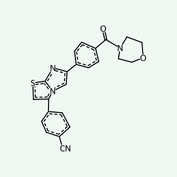 N#Cc1ccc(-c2csc3nc(-c4ccc(C(=O)N5CCOCC5)cc4)cn23)cc1